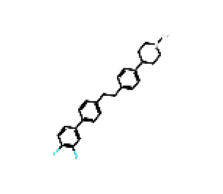 CCC[SiH]1CCC(c2ccc(CCc3ccc(-c4ccc(F)c(F)c4)cc3)cc2)CC1